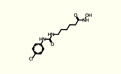 O=C(CCCCCNC(=O)Nc1ccc(Cl)cc1)NO